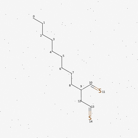 CCCCCCCCCC(C=S)CC=S